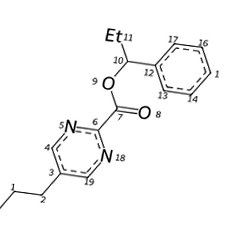 CCCCCCCCCCCCc1cnc(C(=O)OC(CC)c2ccccc2)nc1